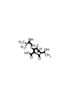 C[C@@H](O)[C@H]1C(=O)N2C(C(=O)O)=C(SCC(=N)N(C)C)[C@H](C)[C@H]12